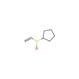 C=C[S+]([O-])C1CCCC1